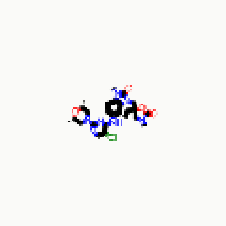 CCC1(Cn2c(=O)n(C)c3ccc(Nc4nc(N5C[C@@H](C)O[C@@H](C)C5)ncc4Cl)cc32)CN(C)C(=O)O1